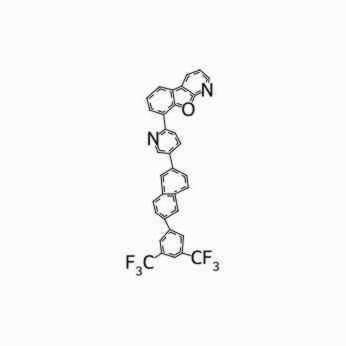 FC(F)(F)c1cc(-c2ccc3cc(-c4ccc(-c5cccc6c5oc5ncccc56)nc4)ccc3c2)cc(C(F)(F)F)c1